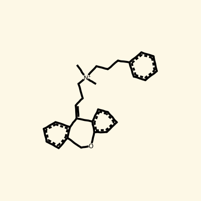 C[N+](C)(CCC=C1c2ccccc2COc2ccccc21)CCCc1ccccc1